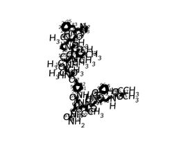 CC[C@H](C)[C@@H]([C@@H](CC(=O)N1CCC[C@H]1[C@H](OC)[C@@H](C)C(=O)N[C@@H](Cc1ccccc1)c1nccs1)OC)N(C)C(=O)[C@@H](NC(=O)C(C)(C)NC(=O)OCc1ccc(NC(=O)[C@H](CCCNC(N)=O)NC(=O)[C@@H](NC(=O)[C@@H](CCCCNC(=O)OC(C)(C)C)NS(=O)(=O)c2ccccc2)C(C)C)cc1)C(C)C